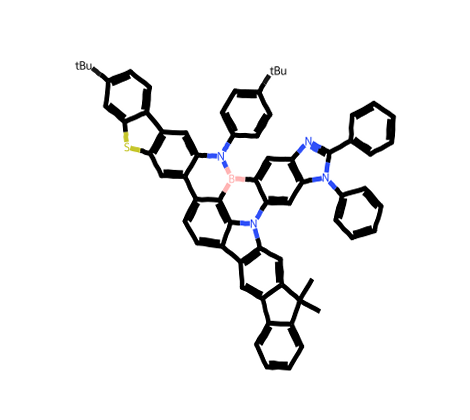 CC(C)(C)c1ccc(N2B3c4cc5nc(-c6ccccc6)n(-c6ccccc6)c5cc4-n4c5cc6c(cc5c5ccc(c3c54)-c3cc4sc5cc(C(C)(C)C)ccc5c4cc32)-c2ccccc2C6(C)C)cc1